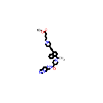 CC(c1ccc(C#CC2CCN(CCCCC(=O)OC(C)(C)C)CC2)c2ccccc12)N1CCC(C(=O)NCc2ccc3cncn3c2)CC1